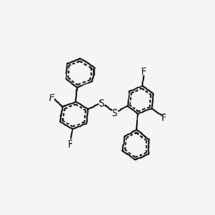 Fc1cc(F)c(-c2ccccc2)c(SSc2cc(F)cc(F)c2-c2ccccc2)c1